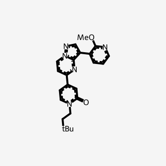 COc1ncccc1-c1cnn2ccc(-c3ccn(CCC(C)(C)C)c(=O)c3)nc12